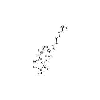 C=C.CCCCCCCCCCCCOC(=O)C(S)S.OCCO